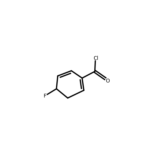 O=C(Cl)C1=CCC(F)C=C1